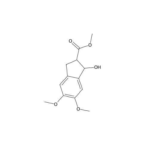 COC(=O)C1Cc2cc(OC)c(OC)cc2C1O